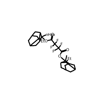 CCCCCCC1(OC(=O)C(F)(F)C(F)(F)C(=O)OC2(C)C3CC4CC(C3)C(CC)C2C4)C2CC3CC(C2)C(CC)C1C3